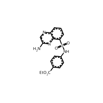 CCOC(=O)c1ccc(NS(=O)(=O)c2cccc3ncc(N)nc23)cc1